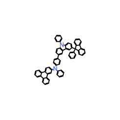 c1ccc(N(c2ccc(-c3ccc4c(c3)c3cc(C5(c6ccccc6)c6ccccc6-c6ccccc65)ccc3n4-c3ccccc3)cc2)c2ccc3c4ccccc4c4ccccc4c3c2)cc1